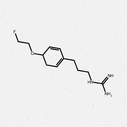 N=C(N)NCCCC1=CCC(OCCF)C=C1